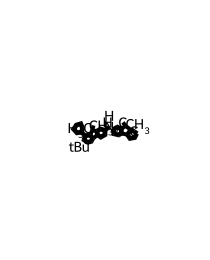 CC(C)(C)c1cc(-c2ccccc2)c2c(c1)-c1ccc(Nc3ccc4c(c3)C(C)(C)c3ccccc3-4)cc1C2(C)C